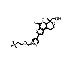 CC1(CO)OCCc2c1[nH]c(=O)c1sc(-c3cnn(COCC[Si](C)(C)C)c3)cc21